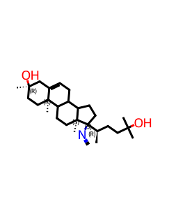 C=N[C@]1([C@H](C)CCC(C)(C)O)CCC2C3CC=C4C[C@](C)(O)CC[C@]4(C)C3CC[C@@]21C